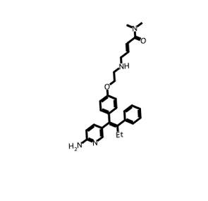 CC/C(=C(/c1ccc(OCCNC/C=C/C(=O)N(C)C)cc1)c1ccc(N)nc1)c1ccccc1